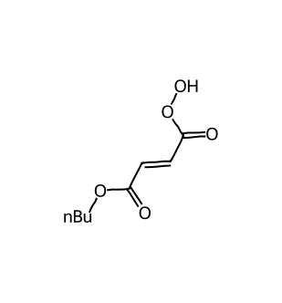 CCCCOC(=O)C=CC(=O)OO